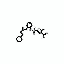 Cc1oc(S(=O)(=O)Nc2ccccc2CN[C@@H](C)CC2CCCCC2)cc1C(=O)O